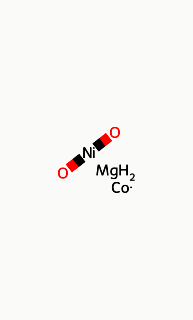 [Co].[MgH2].[O]=[Ni]=[O]